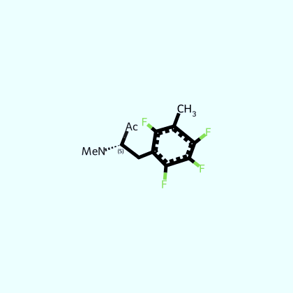 CN[C@@H](Cc1c(F)c(C)c(F)c(F)c1F)C(C)=O